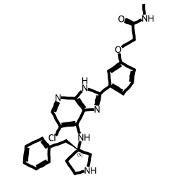 CNC(=O)COc1cccc(-c2nc3c(N[C@@]4(Cc5ccccc5)CCNC4)c(Cl)cnc3[nH]2)c1